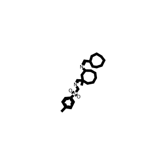 Cc1ccc(S(=O)(=O)C/N=C\C2(C)CCCCCC(/N=C\C3CCCCCCC3)C2)cc1